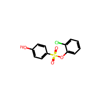 O=S(=O)(Oc1ccccc1Cl)c1ccc(O)cc1